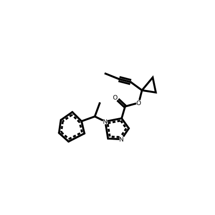 CC#CC1(OC(=O)c2cncn2C(C)c2ccccc2)CC1